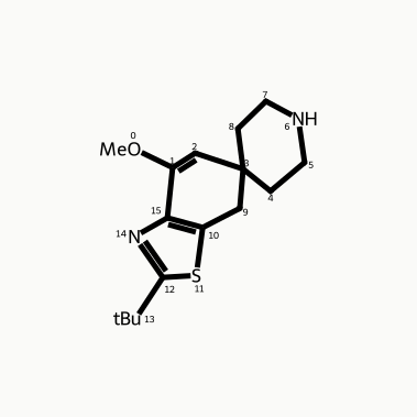 COC1=CC2(CCNCC2)Cc2sc(C(C)(C)C)nc21